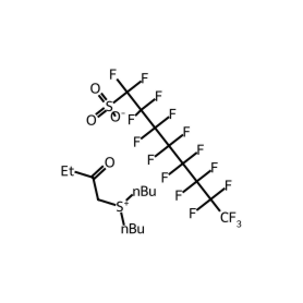 CCCC[S+](CCCC)CC(=O)CC.O=S(=O)([O-])C(F)(F)C(F)(F)C(F)(F)C(F)(F)C(F)(F)C(F)(F)C(F)(F)C(F)(F)F